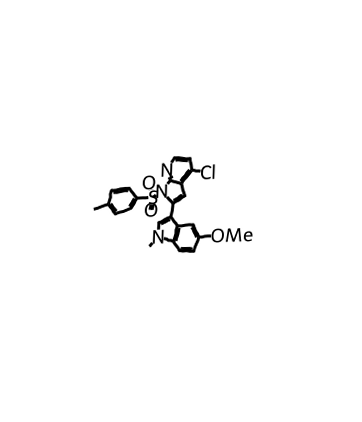 COc1ccc2c(c1)c(-c1cc3c(Cl)ccnc3n1S(=O)(=O)c1ccc(C)cc1)cn2C